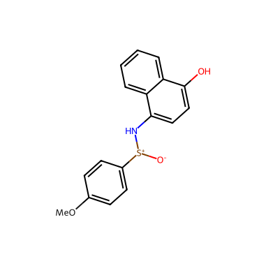 COc1ccc([S+]([O-])Nc2ccc(O)c3ccccc23)cc1